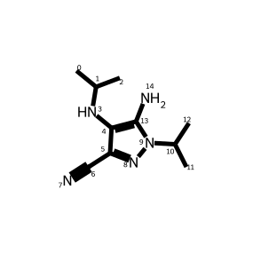 CC(C)Nc1c(C#N)nn(C(C)C)c1N